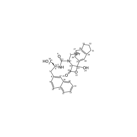 CC(C)CN(C(=O)N[C@@H](Cc1ccc2ccccc2c1)C(=O)O)C1C(=O)OC1(O)c1ccc2c(c1)CCC2